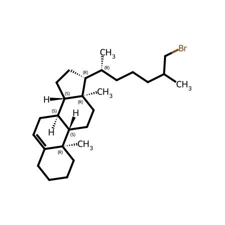 CC(CBr)CCC[C@@H](C)[C@H]1CC[C@H]2[C@@H]3CC=C4CCCC[C@]4(C)[C@H]3CC[C@]12C